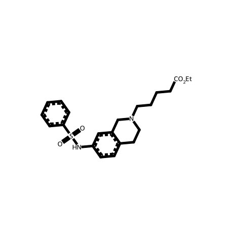 CCOC(=O)CCCCN1CCc2ccc(NS(=O)(=O)c3ccccc3)cc2C1